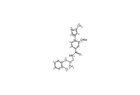 COc1cc(C(=O)NCC(C)Oc2ccccc2Cl)ccc1-n1cnc(C)c1